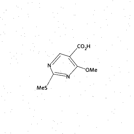 COc1nc(SC)ncc1C(=O)O